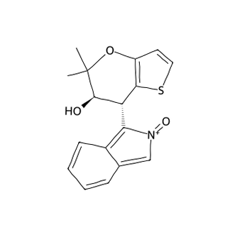 CC1(C)Oc2ccsc2[C@H](C2=c3ccccc3=C[N+]2=O)[C@H]1O